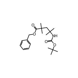 CC(C)(CC(C)(C)C(=O)OCc1ccccc1)NC(=O)OC(C)(C)C